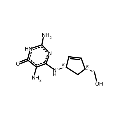 Nc1nc(N[C@@H]2C=C[C@H](CO)C2)c(N)c(=O)[nH]1